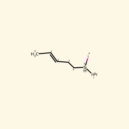 C/C=C/CC[SiH](I)CCC